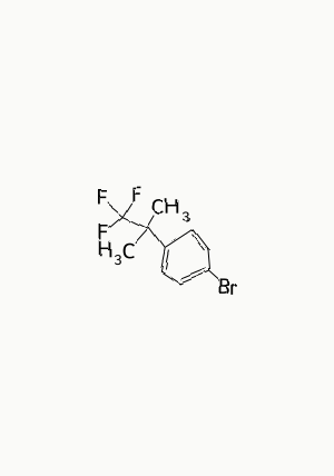 CC(C)(c1ccc(Br)cc1)C(F)(F)F